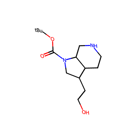 CC(C)(C)OC(=O)N1CC(CCO)C2CCNCC21